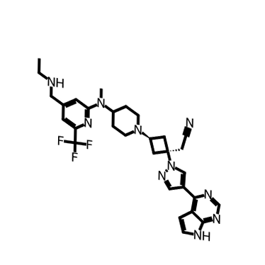 CCNCc1cc(N(C)C2CCN([C@H]3C[C@@](CC#N)(n4cc(-c5ncnc6[nH]ccc56)cn4)C3)CC2)nc(C(F)(F)F)c1